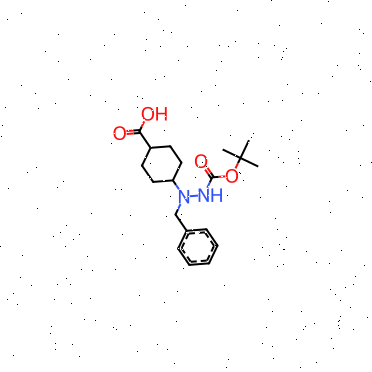 CC(C)(C)OC(=O)NN(Cc1ccccc1)C1CCC(C(=O)O)CC1